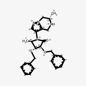 C[C@@H]1[C@@H](OCc2ccccc2)[C@H](OCc2ccccc2)C(=O)N1c1cnn2c1CN[C@@H](C)C2